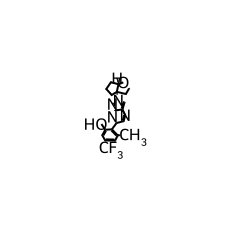 Cc1cc(C(F)(F)F)cc(O)c1-c1cnc2cn([C@@]34CCC[C@@H]3OCC4)nc2n1